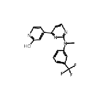 CN(c1cccc(C(F)(F)F)c1)c1nccc(-c2ccnc(O)c2)n1